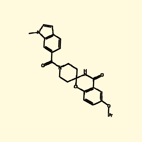 CC(C)Oc1ccc2c(c1)C(=O)NC1(CCN(C(=O)c3ccc4ccn(C)c4c3)CC1)O2